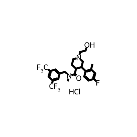 Cc1cc(F)ccc1C1CN(CCO)CCC1C(=O)N(C)Cc1cc(C(F)(F)F)cc(C(F)(F)F)c1.Cl